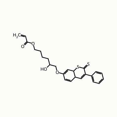 C=CC(=O)OCCCCC(O)COC1=CC2SC(=S)C(c3ccccc3)=CC2C=C1